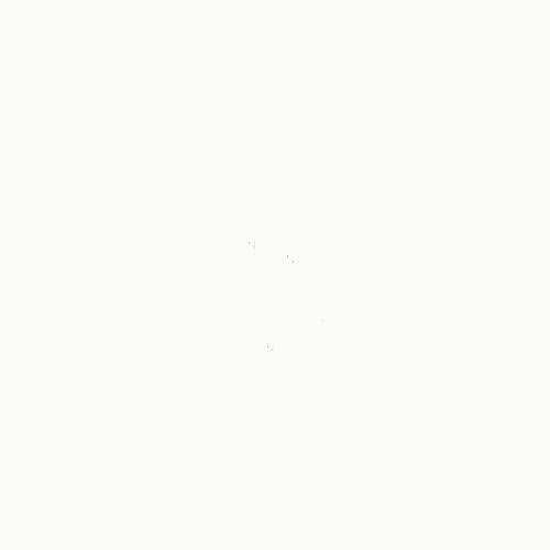 NC(=O)c1[nH]c(CO)nc1Cl